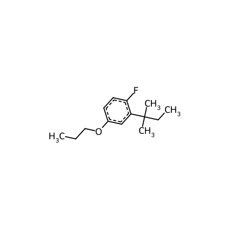 CCCOc1ccc(F)c(C(C)(C)CC)c1